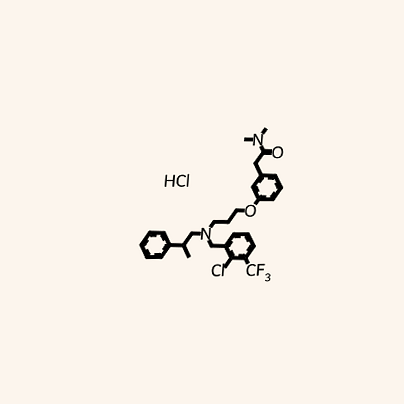 CC(CN(CCCOc1cccc(CC(=O)N(C)C)c1)Cc1cccc(C(F)(F)F)c1Cl)c1ccccc1.Cl